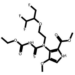 CCOC(=O)NC(=S)N(CCOC(CF)C(F)F)c1c(OC)c[nH]c1C(=O)OC